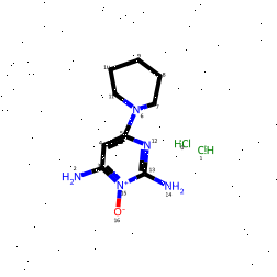 Cl.Cl.Nc1cc(N2CCCCC2)nc(N)[n+]1[O-]